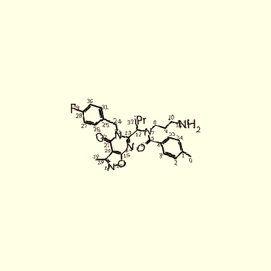 Cc1ccc(C(=O)N(CCCN)C(c2nc3onc(C)c3c(=O)n2Cc2ccc(F)cc2)C(C)C)cc1